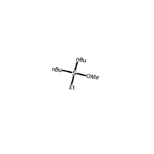 CCCC[Si](CC)(CCCC)OC